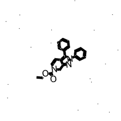 CCOC(=O)N1C=Cc2c(nn(-c3ccccc3)c2-c2ccccc2)C1